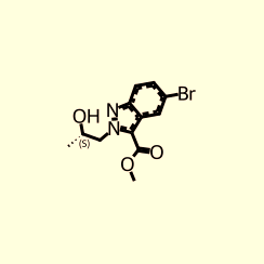 COC(=O)c1c2cc(Br)ccc2nn1C[C@H](C)O